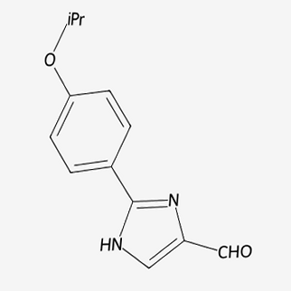 CC(C)Oc1ccc(-c2nc(C=O)c[nH]2)cc1